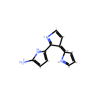 Nc1ccc(C2=NC=CC2=C2C=CC=N2)[nH]1